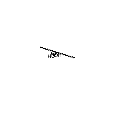 CCCCCCCCCCCCCC=CC(CCCCCCCCCCCCC)=C(O)C(=O)O